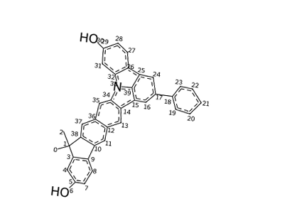 CC1(C)c2cc(O)ccc2-c2cc3cc4c5cc(-c6ccccc6)cc6c7ccc(O)cc7n(c4cc3cc21)c65